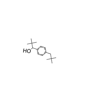 CC(C)(C)Cc1ccc(C(O)C(C)(C)C)cc1